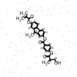 C=C(C)C(=O)Oc1ccc2c(c1)C(C)c1cc(OC(=O)c3ccc(OC(=O)C(=C)CO)cc3)ccc1-2